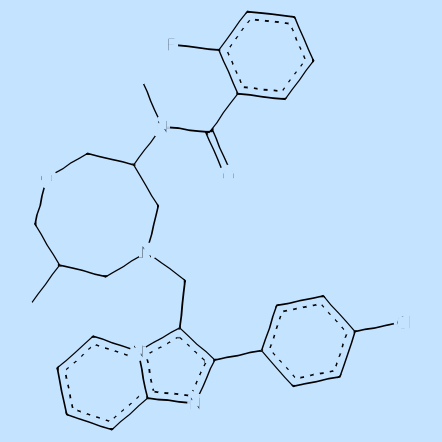 CC1COCC(N(C)C(=O)c2ccccc2F)CN(Cc2c(-c3ccc(Cl)cc3)nc3ccccn23)C1